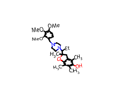 CCC(N1CCN(Cc2ccc(OC)c(OC)c2OC)CC1)C1(C)Cc2c(C)c(O)c(C)c(C)c2O1